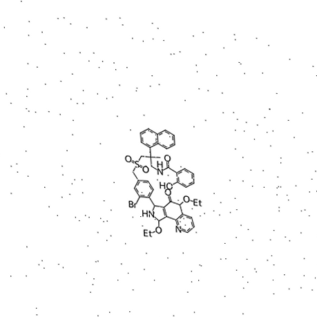 CCOC1NC(c2ccc(CS(=O)(=O)CC(C)(CNC(=O)c3ccccc3O)c3cccc4ccccc34)cc2Br)C2=C1c1ncccc1C(OCC)C2=O